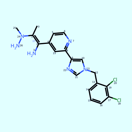 C/C(=C(/N)c1ccnc(-c2cn(Cc3cccc(Cl)c3Cl)cn2)c1)N(C)N